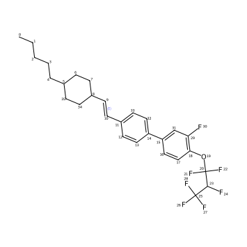 CCCCCC1CCC(/C=C/c2ccc(-c3ccc(OC(F)(F)C(F)C(F)(F)F)c(F)c3)cc2)CC1